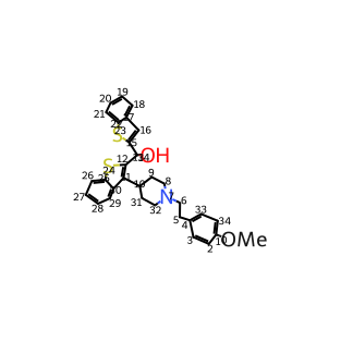 COc1ccc(CCN2CCC(c3c(C(O)c4cc5ccccc5s4)sc4ccccc34)CC2)cc1